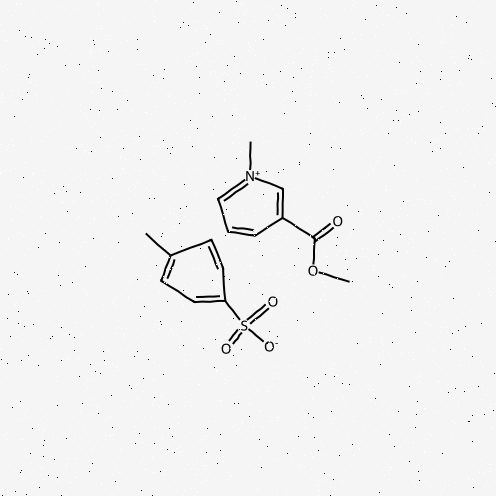 COC(=O)c1ccc[n+](C)c1.Cc1ccc(S(=O)(=O)[O-])cc1